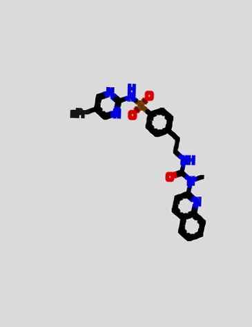 CCCc1cnc(NS(=O)(=O)c2ccc(CCNC(=O)N(C)c3ccc4ccccc4n3)cc2)nc1